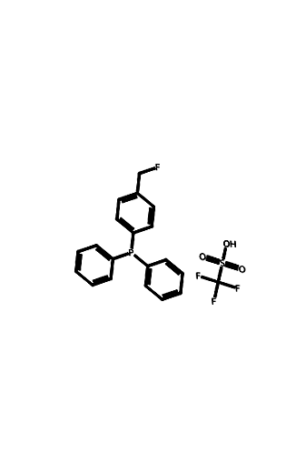 FCc1ccc(P(c2ccccc2)c2ccccc2)cc1.O=S(=O)(O)C(F)(F)F